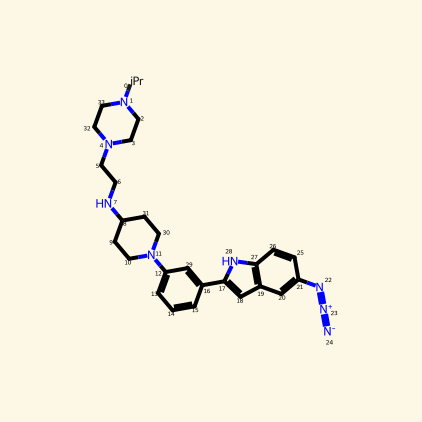 CC(C)N1CCN(CCNC2CCN(c3cccc(-c4cc5cc(N=[N+]=[N-])ccc5[nH]4)c3)CC2)CC1